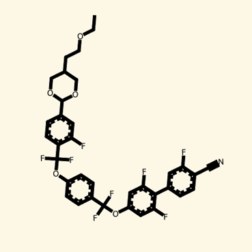 CCOCCC1COC(c2ccc(C(F)(F)Oc3ccc(C(F)(F)Oc4cc(F)c(-c5ccc(C#N)c(F)c5)c(F)c4)cc3)c(F)c2)OC1